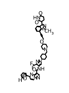 Cn1nc(C2CCC(=O)NC2=O)c2cccc(C#CCOC3CCN(CC4CCC(n5cc(NC(=O)c6cnn7ccc(N8C[C@@H]9CCC8CO9)nc67)c(C(F)F)n5)CC4)CC3)c21